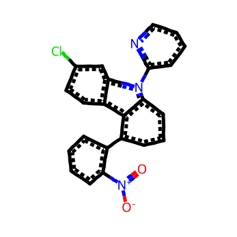 O=[N+]([O-])c1ccccc1-c1cccc2c1c1ccc(Cl)cc1n2-c1ccccn1